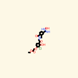 CCOC(=O)COc1ccc(C(=O)CN2Cc3cc(C(=N)NO)ccc3C2=O)c(O)c1Cl